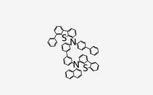 c1ccc(-c2ccc(N(c3cccc(-c4cccc(N(c5cccc6ccccc56)c5cccc6c5sc5ccccc56)c4)c3)c3cccc4c3sc3c(-c5ccccc5)cccc34)cc2)cc1